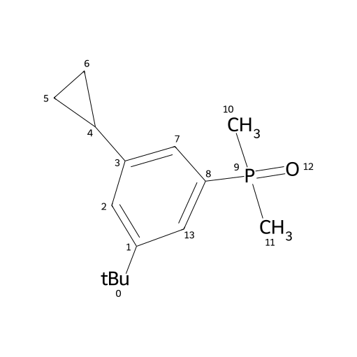 CC(C)(C)c1cc(C2CC2)cc(P(C)(C)=O)c1